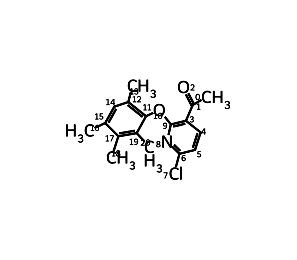 CC(=O)c1ccc(Cl)nc1Oc1c(C)cc(C)c(C)c1C